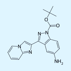 CC(C)(C)OC(=O)n1nc(-c2cn3ccccc3n2)c2cc(N)ccc21